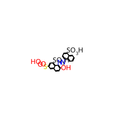 O=S(=O)(O)c1ccc(/N=N/c2c(O)ccc3cc(SOOO)cc(S(=O)(=O)O)c23)c2ccccc12